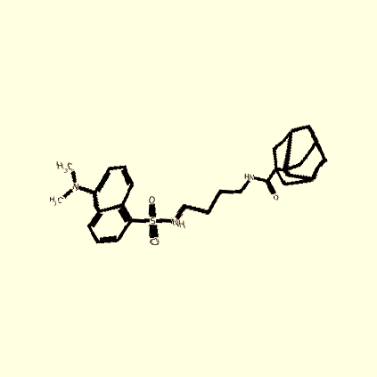 CN(C)c1cccc2c(S(=O)(=O)NCCCCNC(=O)C34CC5CC(CC(C5)C3)C4)cccc12